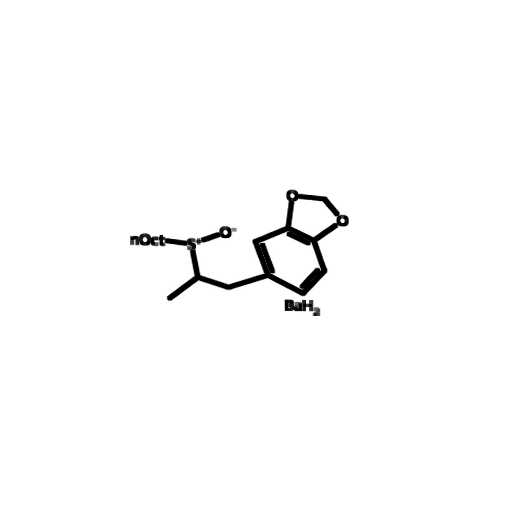 CCCCCCCC[S+]([O-])C(C)Cc1ccc2c(c1)OCO2.[BaH2]